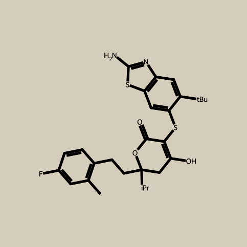 Cc1cc(F)ccc1CCC1(C(C)C)CC(O)=C(Sc2cc3sc(N)nc3cc2C(C)(C)C)C(=O)O1